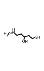 CNCCC(O)CCS